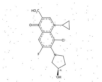 O=C(O)c1cn(C2CC2)c2c(Cl)c(N3CC[C@@H](O)C3)c(F)cc2c1=O